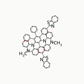 CN1c2ccccc2N(c2c(-c3ccccc3)c(-c3ccccc3)c(-c3ccc(-c4nc5ccccc5s4)cc3)c(N3c4ccccc4N(C)c4ccccc43)c2-c2ccc(-c3nc4ccccc4s3)cc2)c2ccccc21